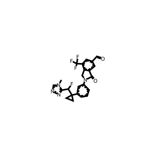 Cn1cnnc1C(F)C1(c2cccc(N3Cc4c(cc(C=O)cc4C(F)(F)F)C3=O)c2)CC1